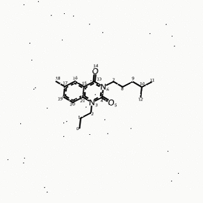 CCCn1c(=O)n(CCCC(C)C)c(=O)c2cc(C)ccc21